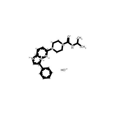 CC(C)NC(=O)N1CCN(c2ccc3ncc(-c4ccccc4)n3n2)CC1.Cl